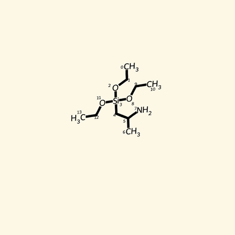 CCO[Si](CC(C)N)(OCC)OCC